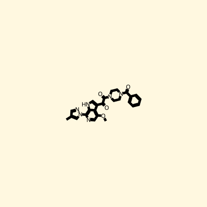 COc1cnc(-n2cc(C)cn2)c2[nH]cc(C(=O)C(=O)N3CCN(C(=O)c4ccccc4)CC3)c12